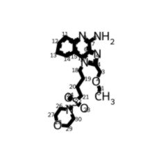 CCOCc1nc2c(N)nc3ccccc3c2n1CCCCS(=O)(=O)N1CCOCC1